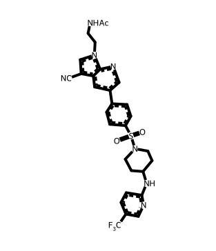 CC(=O)NCCn1cc(C#N)c2cc(-c3ccc(S(=O)(=O)N4CCC(Nc5ccc(C(F)(F)F)cn5)CC4)cc3)cnc21